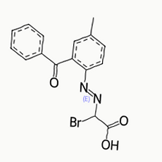 Cc1ccc(/N=N/C(Br)C(=O)O)c(C(=O)c2ccccc2)c1